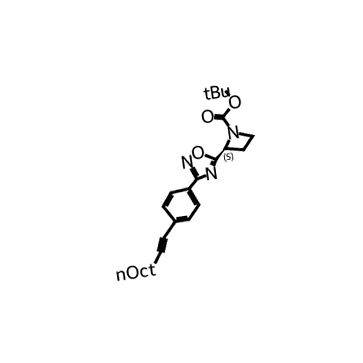 CCCCCCCCC#Cc1ccc(-c2noc([C@@H]3CCN3C(=O)OC(C)(C)C)n2)cc1